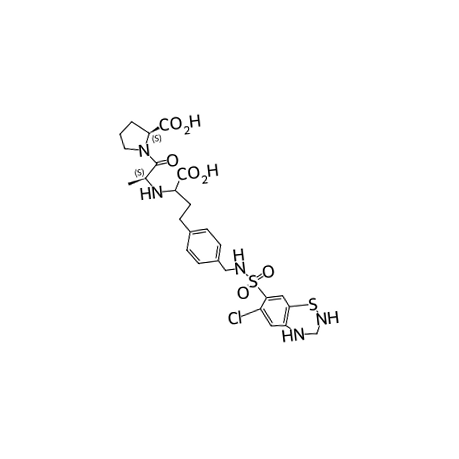 C[C@H](NC(CCc1ccc(CNS(=O)(=O)c2cc3c(cc2Cl)NCNS3)cc1)C(=O)O)C(=O)N1CCC[C@H]1C(=O)O